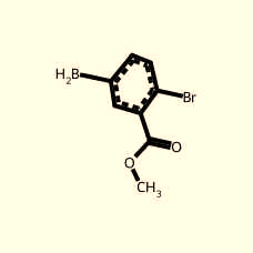 Bc1ccc(Br)c(C(=O)OC)c1